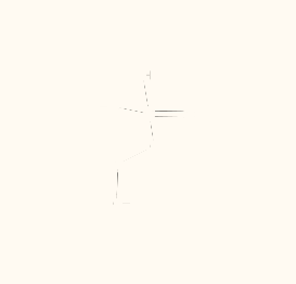 CSOP(=O)(O)O